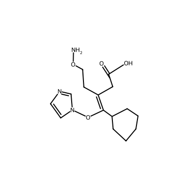 NOCCC(CC(=O)O)=C(On1ccnc1)C1CCCCC1